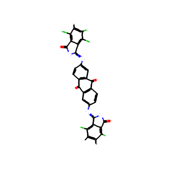 Cc1c(C)c(Cl)c2c(c1Cl)C(=O)N/C2=N\c1ccc2c(c1)C(=O)c1ccc(/N=C3\NC(=O)c4c(Cl)c(C)c(Cl)c(Cl)c43)cc1C2=O